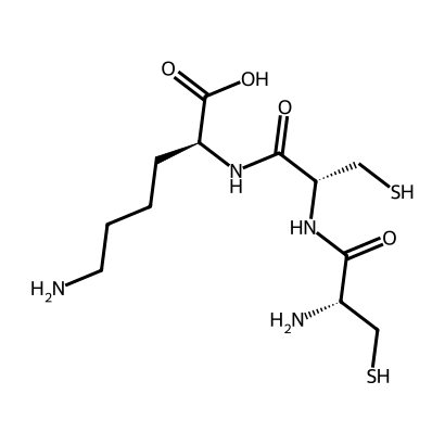 NCCCC[C@H](NC(=O)[C@H](CS)NC(=O)[C@@H](N)CS)C(=O)O